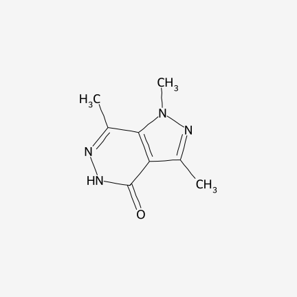 Cc1nn(C)c2c(C)n[nH]c(=O)c12